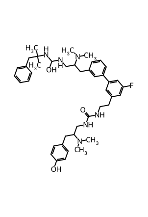 CN(C)C(CNC(=O)NCCc1cc(F)cc(-c2cccc(CC(CNC(O)NC(C)(C)Cc3ccccc3)N(C)C)c2)c1)Cc1ccc(O)cc1